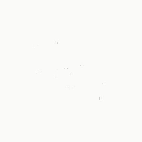 Cc1cc(C)c(C(=O)OOC(=O)c2cc(C)c(C)cc2C)cc1C